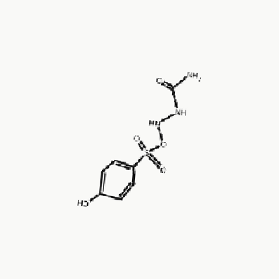 NC(=O)NNOS(=O)(=O)c1ccc(O)cc1